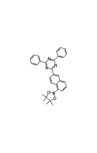 CC1(C)OB(c2cccc3cc(-c4nc(-c5ccccc5)nc(-c5ccccc5)n4)ccc23)OC1(C)C